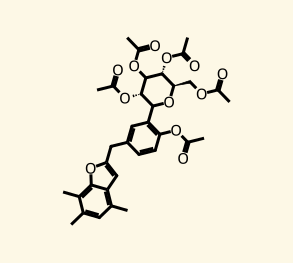 CC(=O)OC[C@H]1OC(c2cc(Cc3cc4c(C)cc(C)c(C)c4o3)ccc2OC(C)=O)[C@H](OC(C)=O)C(OC(C)=O)[C@@H]1OC(C)=O